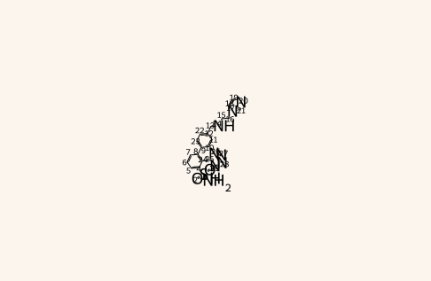 NS(=O)(=O)c1cccc(-c2ccc(CNCCn3ccnc3)cc2)c1-c1nnn[nH]1